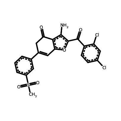 CS(=O)(=O)c1cccc(C2=Cc3oc(C(=O)c4ccc(Cl)cc4Cl)c(N)c3C(=O)C2)c1